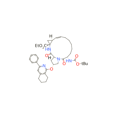 CCOC(=O)[C@@]12C[C@H]1/C=C\CCCCC[C@H](NC(=O)OC(C)(C)C)C(=O)N1C[C@H](Oc3nc(-c4ccccc4)cc4c3CCCC4)C[C@H]1C(=O)N2